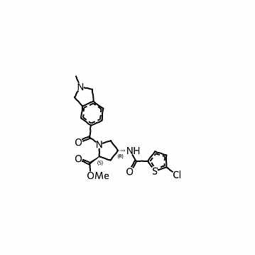 COC(=O)[C@@H]1C[C@@H](NC(=O)c2ccc(Cl)s2)CN1C(=O)c1ccc2c(c1)CN(C)C2